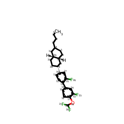 CCCCC1CC[C@@H]2C[C@H](c3ccc(-c4ccc(OC(F)F)c(F)c4)c(F)c3)CC[C@@H]2C1